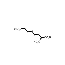 CCOC(=O)CCCCCC(C(=O)O)C(=O)O